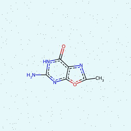 Cc1nc2c(=O)[nH]c(N)nc2o1